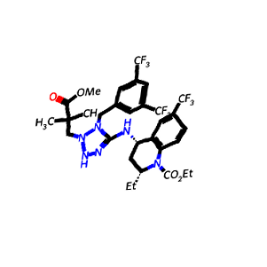 CCOC(=O)N1c2ccc(C(F)(F)F)cc2[C@@H](NC2=NNN(CC(C)(C)C(=O)OC)N2Cc2cc(C(F)(F)F)cc(C(F)(F)F)c2)C[C@H]1CC